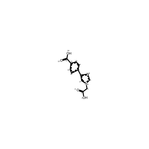 O=C(O)Cn1cnc(-c2ccc(C(=O)O)cc2)c1